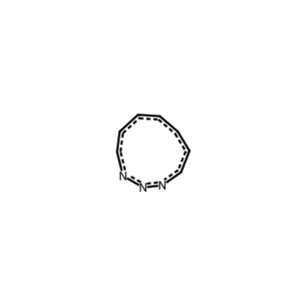 c1cccnnnccc1